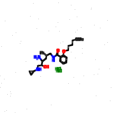 COCCCCOc1ccccc1C(=O)NCC(CC(N)C(O)CNC1CC1)C(C)C.Cl.Cl